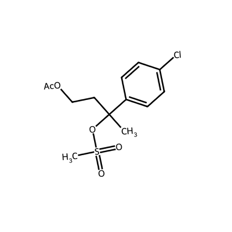 CC(=O)OCCC(C)(OS(C)(=O)=O)c1ccc(Cl)cc1